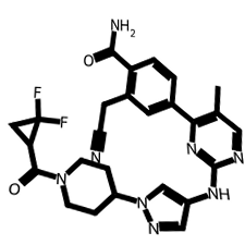 Cc1cnc(Nc2cnn(C3CCN(C(=O)C4CC4(F)F)CC3)c2)nc1-c1ccc(C(N)=O)c(CC#N)c1